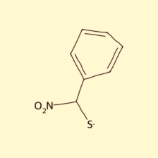 O=[N+]([O-])C([S])c1ccccc1